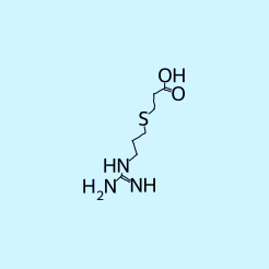 N=C(N)NCCCSCCC(=O)O